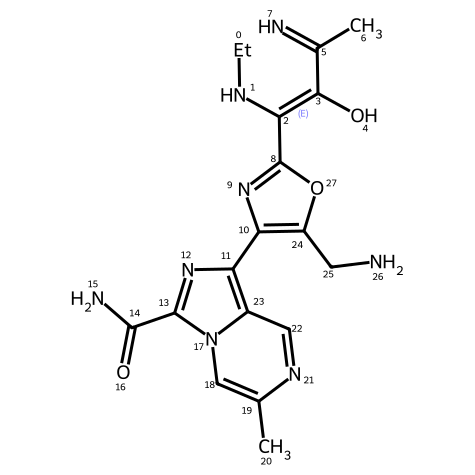 CCN/C(=C(/O)C(C)=N)c1nc(-c2nc(C(N)=O)n3cc(C)ncc23)c(CN)o1